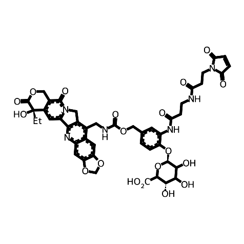 CC[C@@]1(O)C(=O)OCc2c1cc1n(c2=O)Cc2c-1nc1cc3c(cc1c2CNC(=O)OCc1ccc(O[C@@H]2OC(C(=O)O)[C@@H](O)C(O)C2O)c(NC(=O)CCNC(=O)CCN2C(=O)C=CC2=O)c1)OCO3